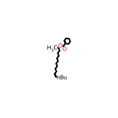 CCCC/C=C\CCCCCCCCCC(C)OC(=O)C1=CCCCC1